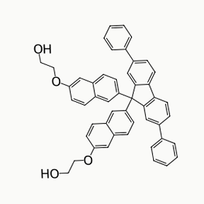 OCCOc1ccc2cc(C3(c4ccc5cc(OCCO)ccc5c4)c4cc(-c5ccccc5)ccc4-c4ccc(-c5ccccc5)cc43)ccc2c1